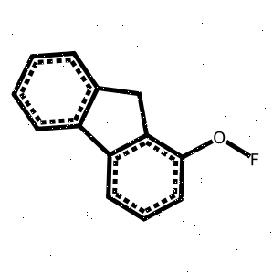 FOc1cccc2c1Cc1ccccc1-2